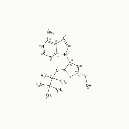 CC(C)(C)[Si](C)(C)OC1C[C@@H](CO)O[C@H]1n1cnc2c(N)ncnc21